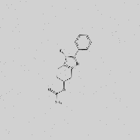 NC(=O)OC1CCn2c(nc(-c3ccccc3)c2F)C1